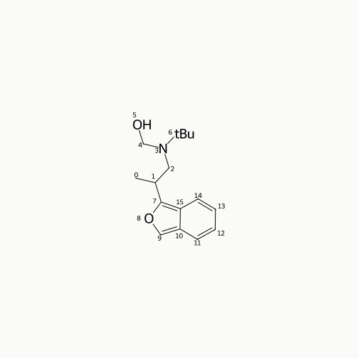 CC(CN(CO)C(C)(C)C)c1occ2ccccc12